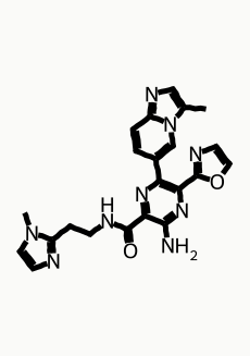 Cc1cnc2ccc(-c3nc(C(=O)NCCc4nccn4C)c(N)nc3-c3ncco3)cn12